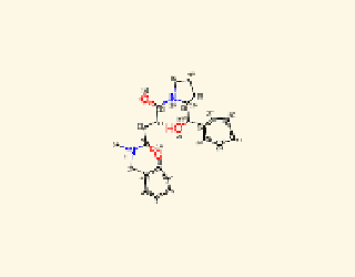 CN(Cc1ccccc1)C(=O)CCC(=O)N1CCC[C@H]1C(O)c1ccccc1